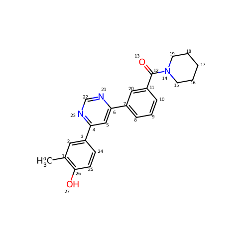 Cc1cc(-c2cc(-c3cccc(C(=O)N4CCCCC4)c3)ncn2)ccc1O